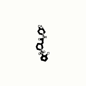 CC1CCN(NC(=O)CC2CCCN(S(=O)(=O)c3ccccc3Cl)C2)CC1